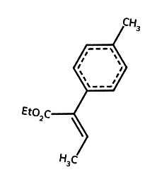 CC=C(C(=O)OCC)c1ccc(C)cc1